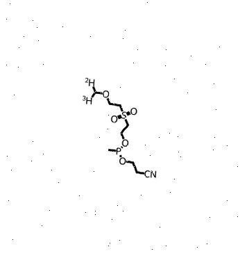 [2H]C([3H])OCCS(=O)(=O)CCOP(C)OCCC#N